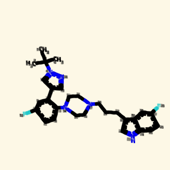 CC(C)(C)n1cc(-c2cc(F)ccc2N2CCN(CCCc3c[nH]c4ccc(F)cc34)CC2)cn1